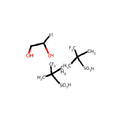 CC(C)(C(F)(F)F)S(=O)(=O)O.CC(C)(C(F)(F)F)S(=O)(=O)O.CCC(O)CO